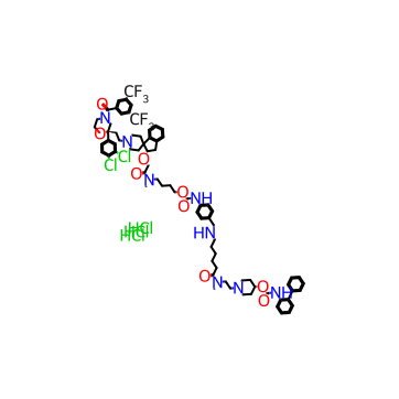 CN(CCN1CCC(OC(=O)Nc2ccccc2-c2ccccc2)CC1)C(=O)CCCCCNCc1ccc(NC(=O)OCCCCN(C)C(=O)CO[C@H]2Cc3ccccc3C23CCN(CC[C@]2(c4ccc(Cl)c(Cl)c4)CN(C(=O)c4cc(C(F)(F)F)cc(C(F)(F)F)c4)CCO2)CC3)cc1.Cl.Cl.Cl